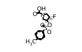 Cc1ccc(S(=O)(=O)O[C@H]2CN(C(=O)O)C[C@@H]2F)cc1